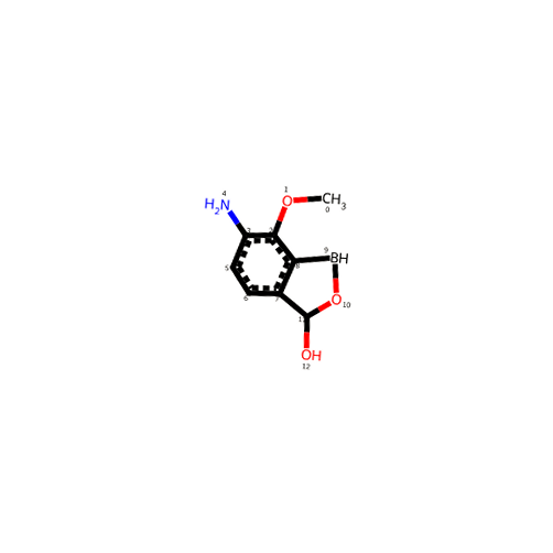 COc1c(N)ccc2c1BOC2O